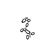 CC1(C)c2ccccc2-c2c(-c3ccc(-n4c5ccccc5c5cc6c(cc54)-c4ccccc4P6(=O)c4ccccc4)cc3)cccc21